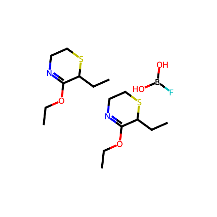 CCOC1=NCCSC1CC.CCOC1=NCCSC1CC.OB(O)F